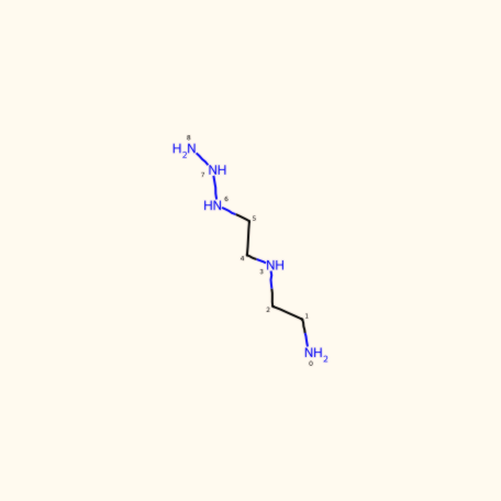 NCCNCCNNN